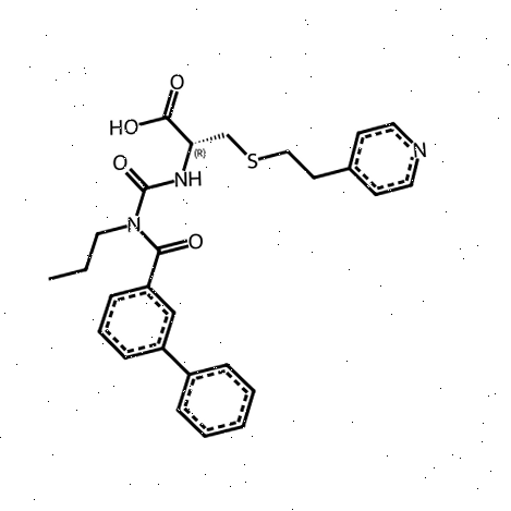 CCCN(C(=O)N[C@@H](CSCCc1ccncc1)C(=O)O)C(=O)c1cccc(-c2ccccc2)c1